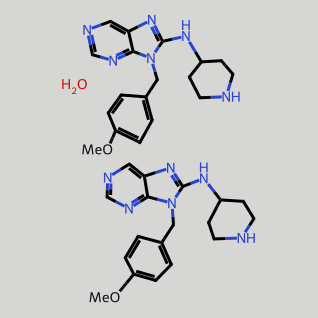 COc1ccc(Cn2c(NC3CCNCC3)nc3cncnc32)cc1.COc1ccc(Cn2c(NC3CCNCC3)nc3cncnc32)cc1.O